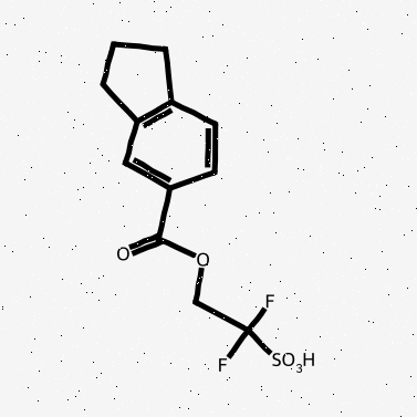 O=C(OCC(F)(F)S(=O)(=O)O)c1ccc2c(c1)CCC2